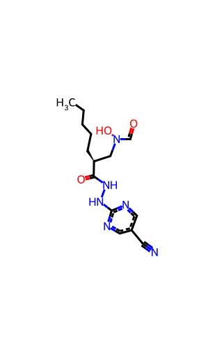 CCCCC[C@@H](CN(O)C=O)C(=O)NNc1ncc(C#N)cn1